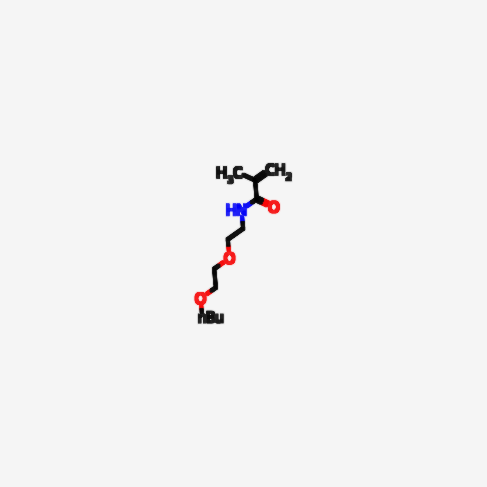 C=C(C)C(=O)NCCOCCOCCCC